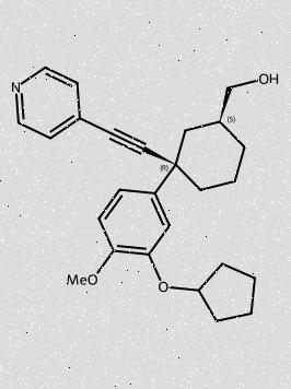 COc1ccc([C@@]2(C#Cc3ccncc3)CCC[C@H](CO)C2)cc1OC1CCCC1